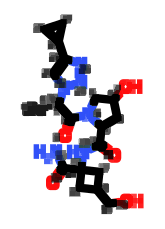 CC(C)(C)[C@@H](C(=O)N1CC(O)CC1C(=O)NC1(C(N)=O)CC(CO)C1)n1cc(C2CC2)nn1